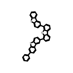 c1ccc(-c2ccc3c(c2)sc2ccc(-c4cccc5c4oc4c(-c6ccc7sc8ccccc8c7c6)cccc45)cc23)cc1